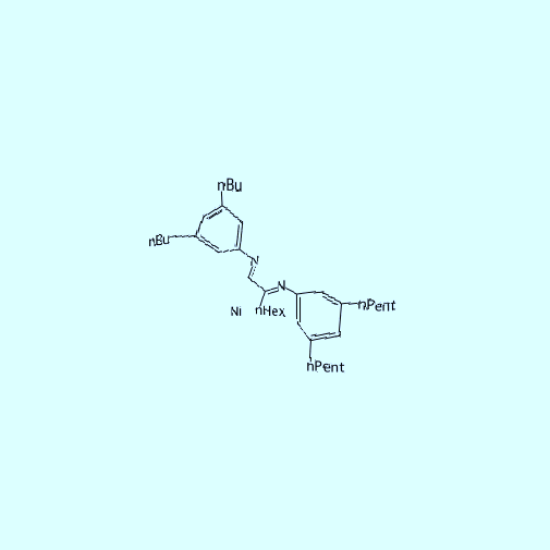 CCCCCCC(C=Nc1cc(CCCC)cc(CCCC)c1)=Nc1cc(CCCCC)cc(CCCCC)c1.[Ni]